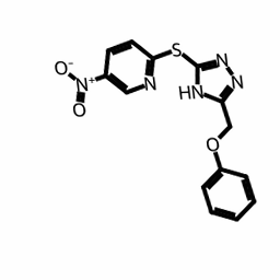 O=[N+]([O-])c1ccc(Sc2nnc(COc3ccccc3)[nH]2)nc1